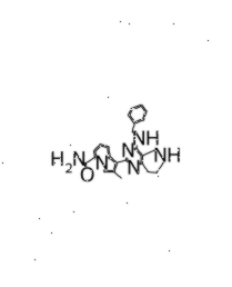 Cc1cn2c(C(N)=O)cccc2c1-c1nc2c(c(NCc3ccccc3)n1)CNCCC2